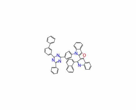 c1ccc(-c2cccc(-c3nc(-c4ccccc4)nc(-c4ccc(-n5c6ccccc6c6oc7c8ccccc8nc(-c8cccc9ccccc89)c7c65)cc4)n3)c2)cc1